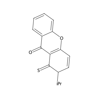 CC(C)C1C=Cc2oc3ccccc3c(=O)c2C1=S